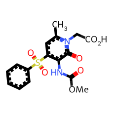 COC(=O)Nc1c(S(=O)(=O)c2ccccc2)cc(C)n(CC(=O)O)c1=O